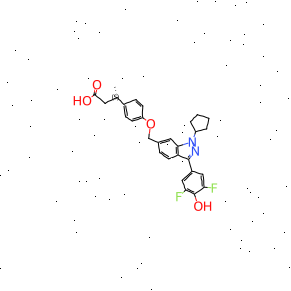 C[C@@H](CC(=O)O)c1ccc(OCc2ccc3c(-c4cc(F)c(O)c(F)c4)nn(C4CCCC4)c3c2)cc1